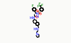 O=C(C[C@@H](NS(=O)(=O)c1cccc(C(F)(F)F)c1)c1ccc(F)cc1)N[C@@H]1CCc2cc(CNCCN3CCCC3)ccc2C1